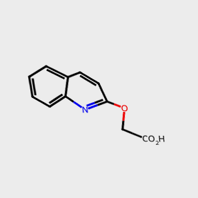 O=C(O)COc1ccc2ccccc2n1